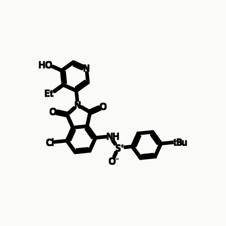 CCc1c(O)cncc1N1C(=O)c2c(Cl)ccc(N[S+]([O-])c3ccc(C(C)(C)C)cc3)c2C1=O